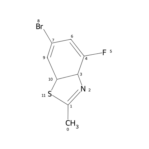 CC1=NC2C(F)=CC(Br)=CC2S1